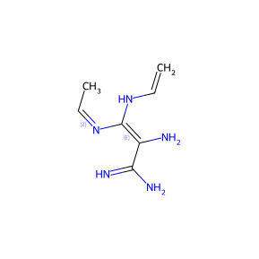 C=CNC(/N=C\C)=C(\N)C(=N)N